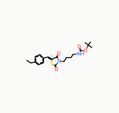 CCc1ccc(/C=C2\SC(=O)N(CCCCNC(=O)OC(C)(C)C)C2=O)cc1